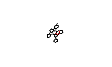 Cc1ccc2c(c1)c1ccc3c4ccccc4n(-c4cc(-c5ccccc5)cc(-c5ccccc5)c4)c3c1n2-c1ccccn1